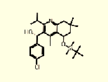 CC(C)c1nc2c(c(I)c1[C@@H](O)c1ccc(Cl)cc1)C(O[Si](C)(C)C(C)(C)C)CC(C)(C)C2